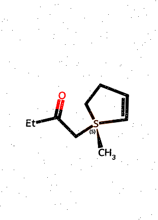 CCC(=O)C[S@@]1(C)C=CCC1